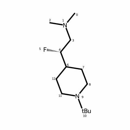 CN(C)C[C@@H](F)C1CCN(C(C)(C)C)CC1